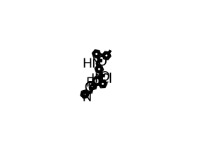 Cc1cccc(-c2ccccc2C(=O)Nc2ccc(C(=O)N3CCC(F)(F)C(=CC(=O)Cc4ccccn4)c4ccccc43)cc2)c1.Cl